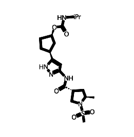 CC(C)NC(=O)O[C@@H]1CC[C@H](c2cc(NC(=O)[C@@H]3C[C@@H](C)N(S(C)(=O)=O)C3)n[nH]2)C1